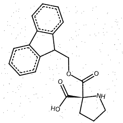 O=C(O)[C@]1(C(=O)OCC2c3ccccc3-c3ccccc32)CCCN1